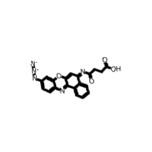 [N-]=[N+]=Nc1ccc2nc3c4ccccc4/c(=N\C(=O)CCC(=O)O)cc-3oc2c1